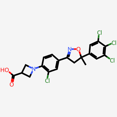 CC1(c2cc(Cl)c(Cl)c(Cl)c2)CC(c2ccc(N3CC(C(=O)O)C3)c(Cl)c2)=NO1